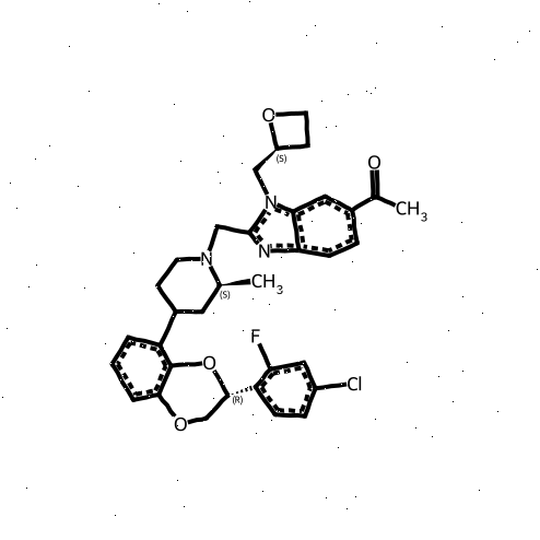 CC(=O)c1ccc2nc(CN3CCC(c4cccc5c4O[C@H](c4ccc(Cl)cc4F)CO5)C[C@@H]3C)n(C[C@@H]3CCO3)c2c1